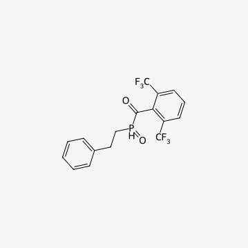 O=C(c1c(C(F)(F)F)cccc1C(F)(F)F)[PH](=O)CCc1ccccc1